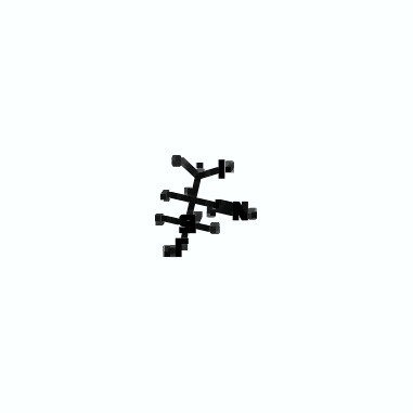 CC(I)C(C)(C#N)[Si](C)(C)F